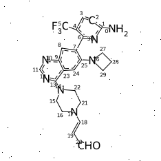 Nc1ccc(C(F)(F)F)c(-c2cc3ncnc(N4CCN(C=CC=O)CC4)c3cc2N2CCC2)n1